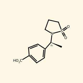 C[C@@H](c1ccc(C(=O)O)cc1)N1CCCS1(=O)=O